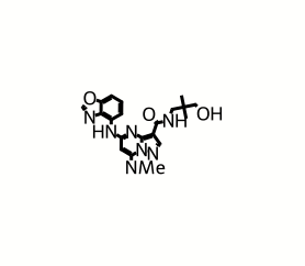 CNc1cc(Nc2cccc3ocnc23)nc2c(C(=O)NCC(C)(C)CO)cnn12